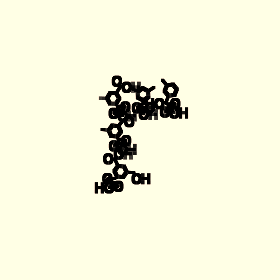 Cc1cc(C(=O)O)cc(S(=O)(=O)O)c1.Cc1cc(C)cc(S(=O)(=O)O)c1.Cc1cc(C=O)cc(S(=O)(=O)O)c1.Cc1cccc(C(O)S(=O)(=O)O)c1.O=C(O)c1cc(CO)cc(S(=O)(=O)O)c1